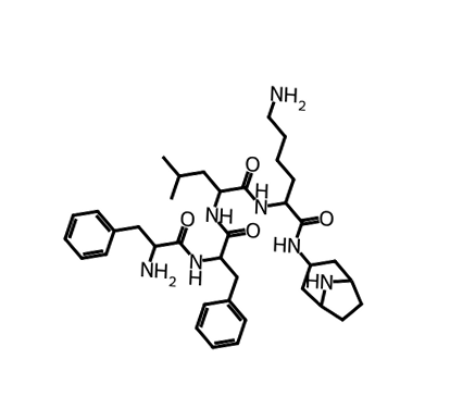 CC(C)CC(NC(=O)C(Cc1ccccc1)NC(=O)C(N)Cc1ccccc1)C(=O)NC(CCCCN)C(=O)NC1CC2CCC(C1)N2